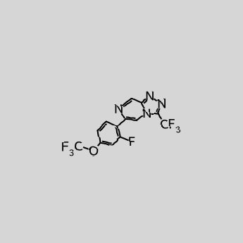 Fc1cc(OC(F)(F)F)ccc1-c1cn2c(C(F)(F)F)nnc2cn1